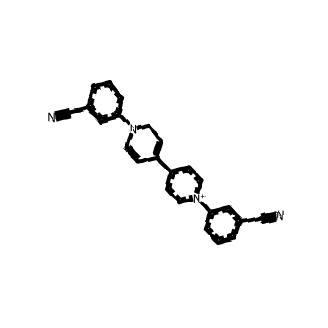 N#Cc1cccc(N2C=CC(c3cc[n+](-c4cccc(C#N)c4)cc3)=CC2)c1